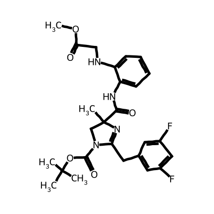 COC(=O)CNc1ccccc1NC(=O)C1(C)CN(C(=O)OC(C)(C)C)C(Cc2cc(F)cc(F)c2)=N1